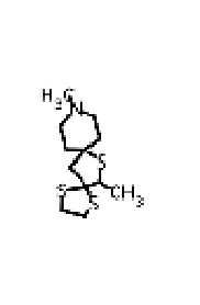 CC1SC2(CCN(C)CC2)CC12SCCS2